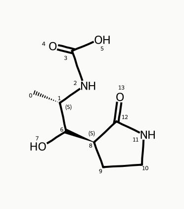 C[C@H](NC(=O)O)C(O)[C@@H]1CCNC1=O